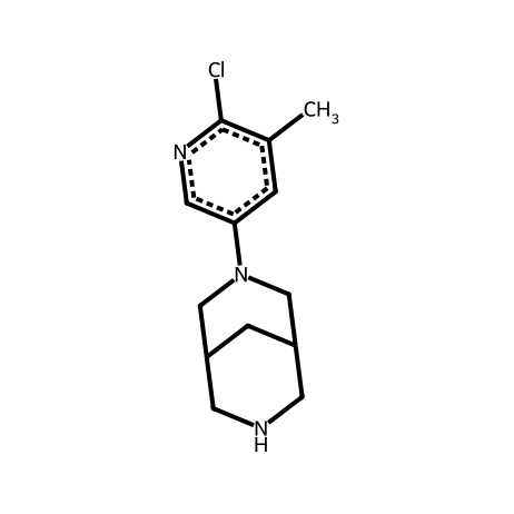 Cc1cc(N2CC3CNCC(C3)C2)cnc1Cl